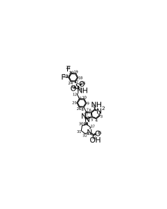 Nc1nccc2c1c(-c1ccc(CNS(=O)(=O)c3ccc(F)c(F)c3)cc1)nn2[C@@H]1CCCN(C(=O)O)C1